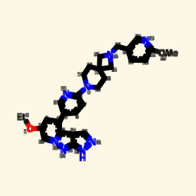 CCOc1cc(-c2ccc(N3CCC4(CC3)CN(Cc3ccc(OC)nc3)C4)nc2)c2c3cn[nH]c3nn2c1